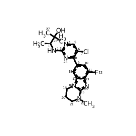 C[C@H](Nc1ncc(Cl)c(-c2cc(F)c3nc4n(c3c2)CCCN4C)n1)C(C)(C)O